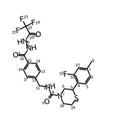 Cc1ccc(C2CN(C(=O)NCc3ccc(C(=O)NNC(=O)C(F)(F)F)cc3)CCS2)c(F)c1